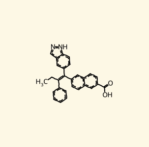 CCC(=C(c1ccc2cc(C(=O)O)ccc2c1)c1ccc2[nH]ncc2c1)c1ccccc1